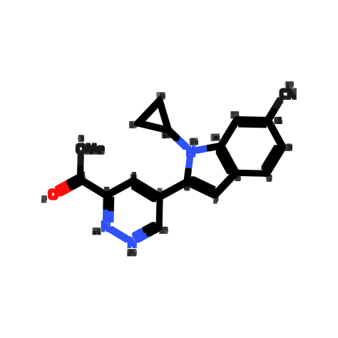 COC(=O)c1cc(-c2cc3ccc(C#N)cc3n2C2CC2)cnn1